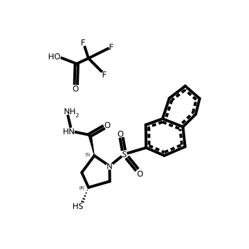 NNC(=O)[C@@H]1C[C@@H](S)CN1S(=O)(=O)c1ccc2ccccc2c1.O=C(O)C(F)(F)F